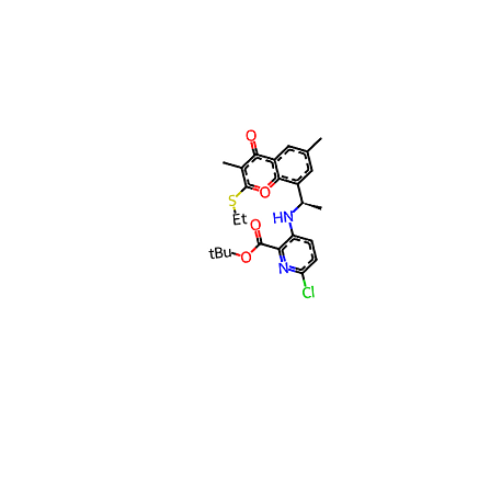 CCSc1oc2c([C@@H](C)Nc3ccc(Cl)nc3C(=O)OC(C)(C)C)cc(C)cc2c(=O)c1C